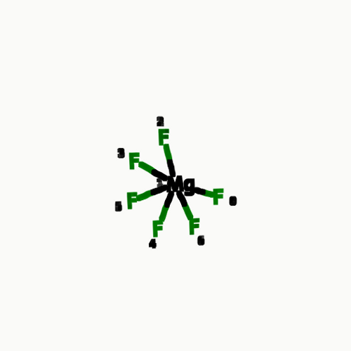 [F][Mg]([F])([F])([F])([F])[F]